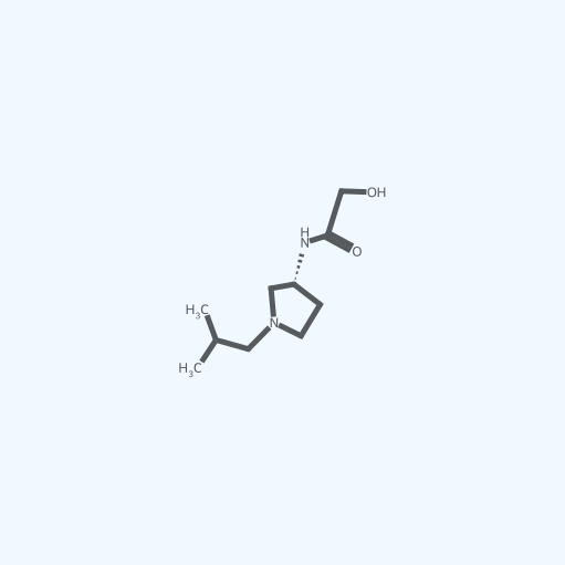 CC(C)CN1CC[C@@H](NC(=O)CO)C1